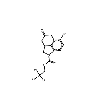 O=C1Cc2c(Br)ccc3c2C(C1)CN3C(=O)OCC(Cl)(Cl)Cl